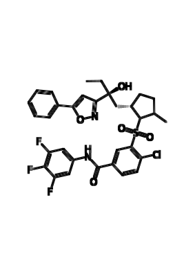 CC[C@](O)(C[C@@H]1CCC(C)C1S(=O)(=O)c1cc(C(=O)Nc2cc(F)c(F)c(F)c2)ccc1Cl)c1cc(-c2ccccc2)on1